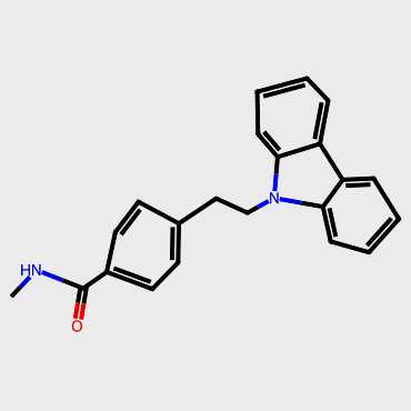 CNC(=O)c1ccc(CCn2c3ccccc3c3ccccc32)cc1